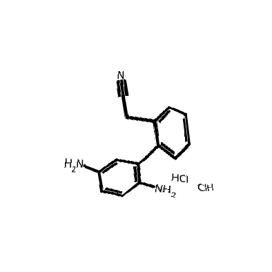 Cl.Cl.N#CCc1ccccc1-c1cc(N)ccc1N